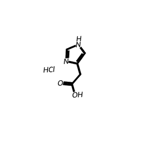 Cl.O=C(O)Cc1c[nH]cn1